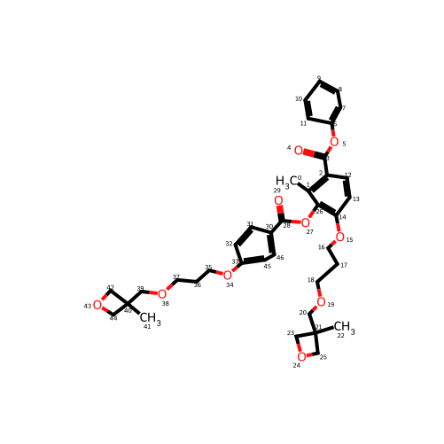 Cc1c(C(=O)Oc2ccccc2)ccc(OCCCOCC2(C)COC2)c1OC(=O)c1ccc(OCCCOCC2(C)COC2)cc1